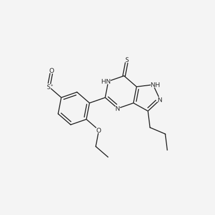 CCCc1n[nH]c2c(=S)[nH]c(-c3cc([S+]=O)ccc3OCC)nc12